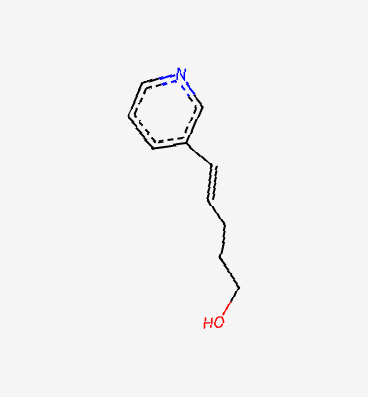 OCCCC=Cc1cccnc1